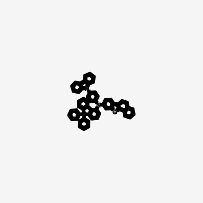 c1ccc(C2(c3ccccc3)c3ccccc3-c3c(N(c4ccc(-n5c6ccccc6c6ccccc65)cc4)c4ccc5c(c4)oc4c6ccccc6ccc54)cccc32)cc1